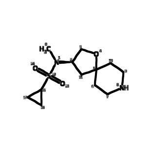 CN([C@H]1COC2(CCNCC2)C1)S(=O)(=O)C1CC1